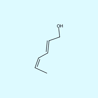 C/C=C\C=C\CO